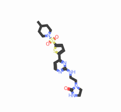 CC1CCN(S(=O)(=O)c2ccc(-c3ccnc(NCCN4CCNC4=O)n3)s2)CC1